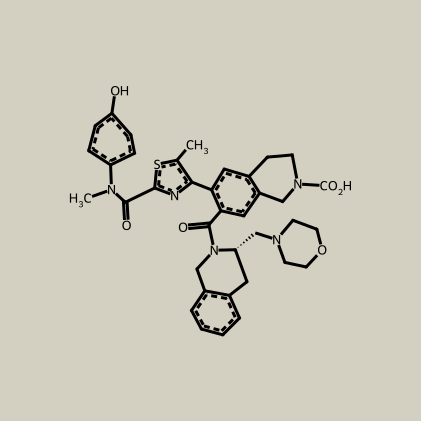 Cc1sc(C(=O)N(C)c2ccc(O)cc2)nc1-c1cc2c(cc1C(=O)N1Cc3ccccc3C[C@H]1CN1CCOCC1)CN(C(=O)O)CC2